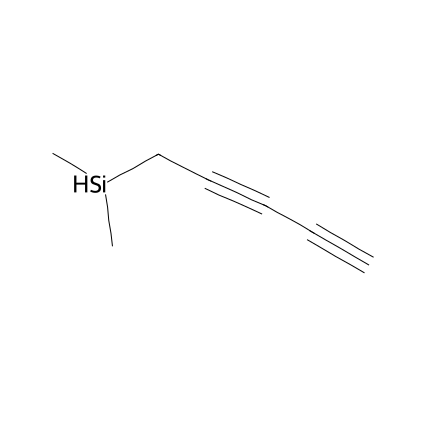 C#CC#CC[SiH](C)C